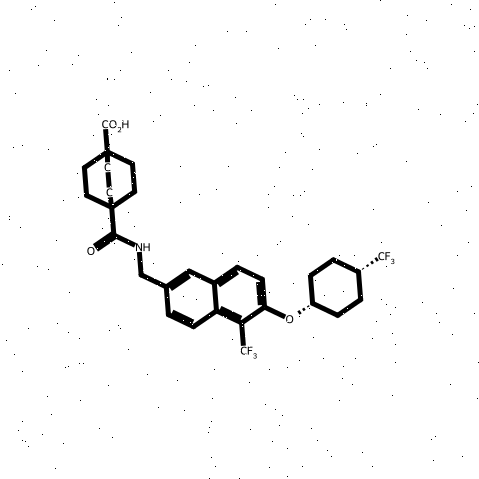 O=C(O)C12CCC(C(=O)NCc3ccc4c(C(F)(F)F)c(O[C@H]5CC[C@@H](C(F)(F)F)CC5)ccc4c3)(CC1)CC2